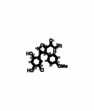 CCNC(=O)c1onc(-c2cc(Cl)c(O)cc2O)c1-c1ccc(OC)cc1